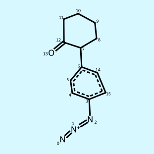 [N-]=[N+]=Nc1ccc(C2CCCCC2=O)cc1